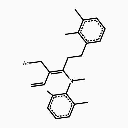 C=C/C(CC(C)=O)=C(/CCc1cccc(C)c1C)N(C)c1c(C)cccc1C